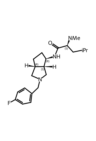 CN[C@@H](CC(C)C)C(=O)N[C@@H]1CC[C@H]2CN(Cc3ccc(F)cc3)C[C@H]21